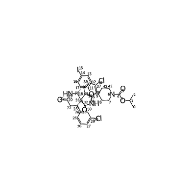 CC(C)OC(=O)N1CCC(Oc2ccc(I)cc2[C@H]2NC(=O)CC([C@@H]3C=CC=C(Cl)C3)[C@]23C(=O)Nc2cc(Cl)ccc23)CC1